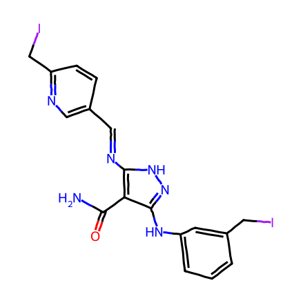 NC(=O)c1c(Nc2cccc(CI)c2)n[nH]c1/N=C/c1ccc(CI)nc1